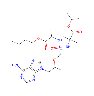 CCCCOC(=O)C(C)N[P@@](=O)(COC(C)Cn1cnc2c(N)ncnc21)NC(C)(C)C(=O)OC(C)C